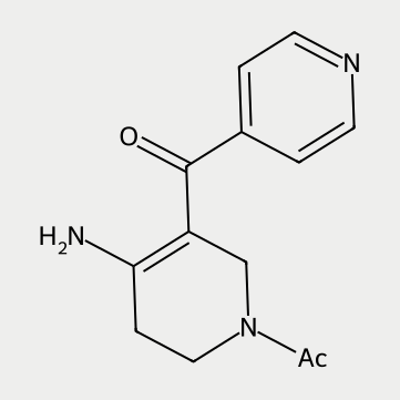 CC(=O)N1CCC(N)=C(C(=O)c2ccncc2)C1